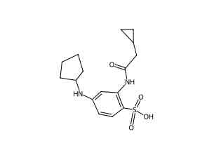 O=C(CC1CC1)Nc1cc(NC2CCCC2)ccc1S(=O)(=O)O